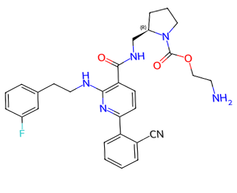 N#Cc1ccccc1-c1ccc(C(=O)NC[C@H]2CCCN2C(=O)OCCN)c(NCCc2cccc(F)c2)n1